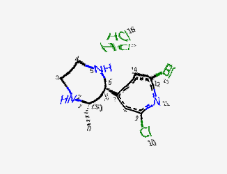 C[C@@H]1NCCN[C@H]1c1cc(Cl)nc(Br)c1.Cl.Cl